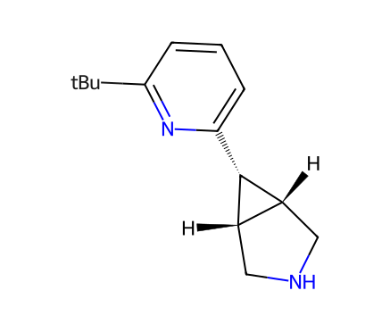 CC(C)(C)c1cccc([C@@H]2[C@@H]3CNC[C@@H]32)n1